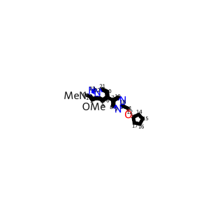 CNc1cc2c(OC)c(-c3cnc(COC4CCCC4)nc3)ccn2n1